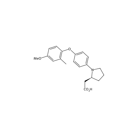 COc1ccc(Oc2ccc(N3CCC[C@H]3CC(=O)O)cc2)c(C)c1